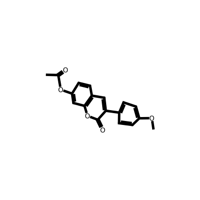 COc1ccc(-c2cc3ccc(OC(C)=O)cc3oc2=O)cc1